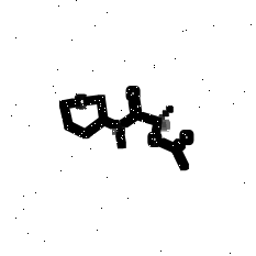 CC(=O)O[C@@H](C)C(=O)N(C)C1CCCCC1